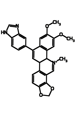 COc1cc2c(cc1OC)C1C(C=C2c2ccc3[nH]cnc3c2)c2ccc3c(c2C=[N+]1C)OCO3